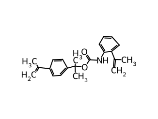 C=C(C)c1ccc(C(C)(C)OC(=O)Nc2ccccc2C(=C)C)cc1